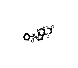 O=C1CNc2c(cnc3c2ccn3S(=O)(=O)c2ccccc2)N1